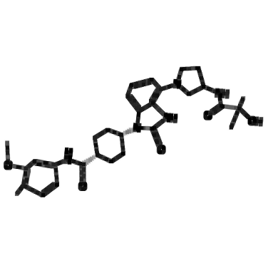 COc1cc(NC(=O)[C@H]2CC[C@@H](n3c(=O)[nH]c4c(N5CCC(NC(=O)C(C)(C)O)C5)cccc43)CC2)ccc1C